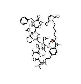 CC[C@H](C)[C@@H]([C@@H](CC(=O)N1CCC[C@H]1[C@H](OC)[C@@H](C)C(=O)N[C@@H](Cc1ccccc1)C(=O)OC)OC)N(C)C(=O)[C@@H](NC(=O)[C@H](C(C)C)N(C)CCc1ccc(N(C)C(=O)CCCCCN2C(=O)C=CC2=O)cc1)C(C)C